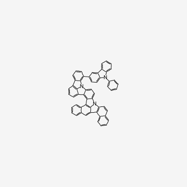 c1ccc(-n2c3ccccc3c3cc(-c4cccc5c6cccc7c8c9c%10c%11ccccc%11cc%11c%12c%13ccccc%13ccc%12n(c9ccc8n(c45)c67)c%11%10)ccc32)cc1